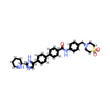 O=C(Nc1ccc(CN2CCS(=O)(=O)CC2)cc1)c1ccc(-c2ccc(-c3cnc([C@@H]4CCCCN4)[nH]3)cc2)cc1